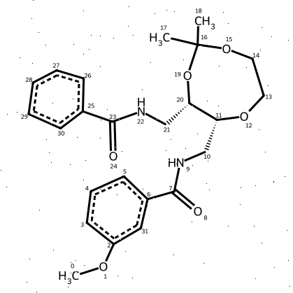 COc1cccc(C(=O)NC[C@H]2OCCOC(C)(C)O[C@H]2CNC(=O)c2ccccc2)c1